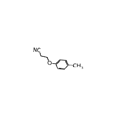 Cc1ccc(OCCC#N)cc1